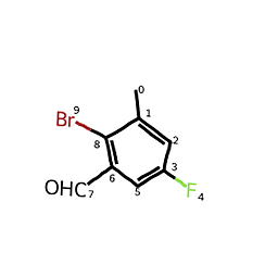 Cc1cc(F)cc(C=O)c1Br